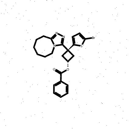 O=C(O[C@H]1C[C@@](c2ccc(Br)s2)(c2nnc3n2CCCCCC3)C1)c1ccccc1